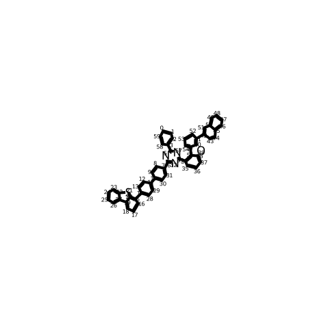 c1ccc(-c2nc(-c3ccc(-c4ccc(-c5cccc6c5sc5ccccc56)cc4)cc3)nc(-c3cccc4oc5c(-c6ccc7ccccc7c6)cccc5c34)n2)cc1